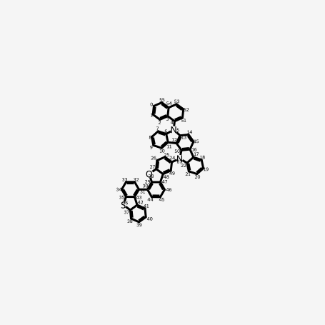 c1ccc2c(-n3c4ccccc4c4c3ccc3c5ccccc5n(-c5ccc6oc7c(-c8cccc9sc%10ccccc%10c89)cccc7c6c5)c34)cccc2c1